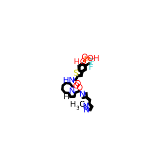 Cn1nccc1C=C1CN(C(=O)C2CC[C@@H]3CCCC[C@H](NC(=O)c4cc5cc(C(F)(F)P(=O)(O)O)ccc5s4)C(=O)N23)C1